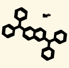 [Sn+4].c1ccc(N(c2ccccc2)c2ccc3cc(N(c4ccccc4)c4ccccc4)ccc3c2)cc1